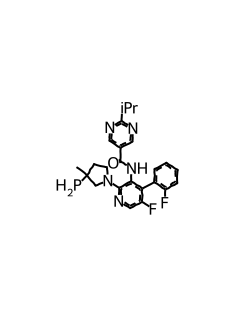 CC(C)c1ncc(C(=O)Nc2c(N3CCC(C)(P)C3)ncc(F)c2-c2ccccc2F)cn1